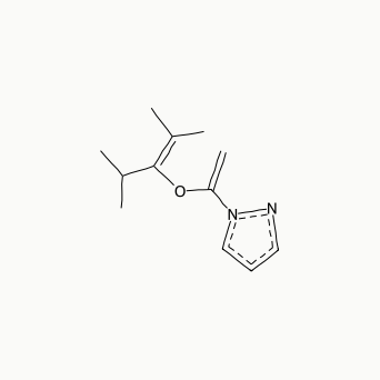 C=C(OC(=C(C)C)C(C)C)n1cccn1